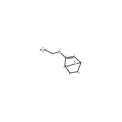 NCOC1=CC2CCC1CC2